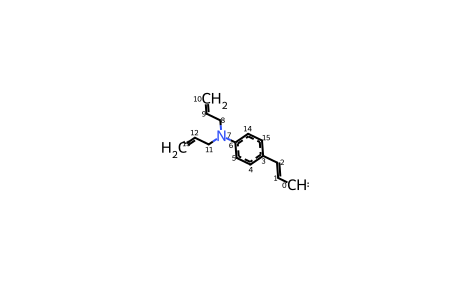 [CH]C=Cc1ccc(N(CC=C)CC=C)cc1